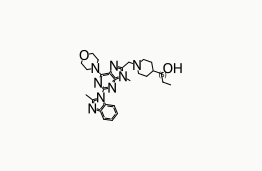 CC[C@H](O)C1CCN(Cc2nc3c(N4CCOCC4)nc(-n4c(C)nc5ccccc54)nc3n2C)CC1